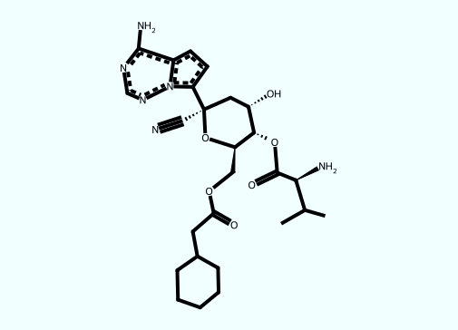 CC(C)[C@H](N)C(=O)O[C@H]1[C@@H](O)C[C@](C#N)(c2ccc3c(N)ncnn23)O[C@@H]1COC(=O)CC1CCCCC1